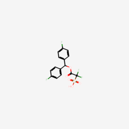 O=C(OC(c1ccc(F)cc1)c1ccc(F)cc1)C(F)(F)S(=O)(=O)O